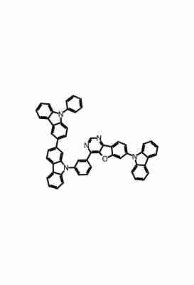 c1ccc(-n2c3ccccc3c3cc(-c4ccc5c6ccccc6n(-c6cccc(-c7ncnc8c7oc7cc(-n9c%10ccccc%10c%10ccccc%109)ccc78)c6)c5c4)ccc32)cc1